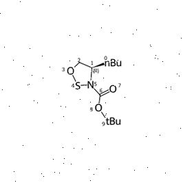 CCCC[C@@H]1COSN1C(=O)OC(C)(C)C